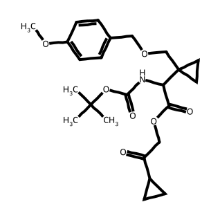 COc1ccc(COCC2(C(NC(=O)OC(C)(C)C)C(=O)OCC(=O)C3CC3)CC2)cc1